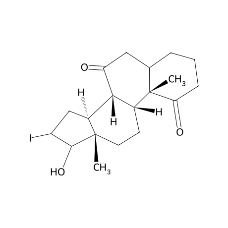 C[C@]12C(=O)CCCC1CC(=O)[C@@H]1[C@H]2CC[C@]2(C)C(O)C(I)C[C@@H]12